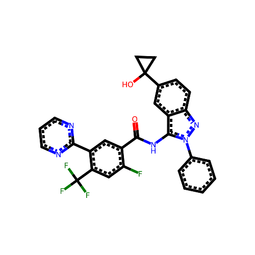 O=C(Nc1c2cc(C3(O)CC3)ccc2nn1-c1ccccc1)c1cc(-c2ncccn2)c(C(F)(F)F)cc1F